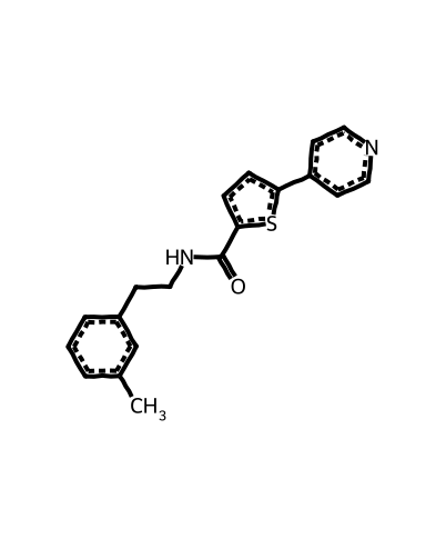 Cc1cccc(CCNC(=O)c2ccc(-c3ccncc3)s2)c1